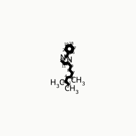 CCC(C)CC(C)CCCc1ccnc(-c2ccccc2)n1